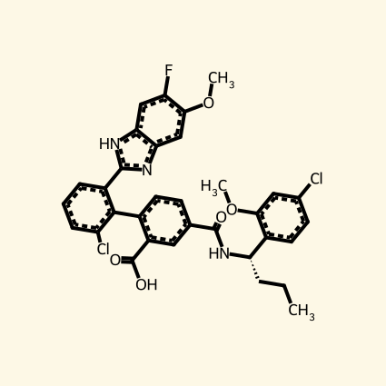 CCC[C@H](NC(=O)c1ccc(-c2c(Cl)cccc2-c2nc3cc(OC)c(F)cc3[nH]2)c(C(=O)O)c1)c1ccc(Cl)cc1OC